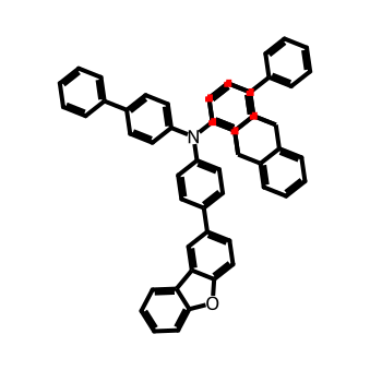 c1ccc(-c2ccc(N(c3ccc(-c4ccc5oc6ccccc6c5c4)cc3)c3ccc(-c4ccccc4)c4c3C3c5ccccc5C4c4ccccc43)cc2)cc1